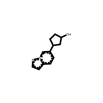 OC1CCC(c2ccc3ccnn3c2)C1